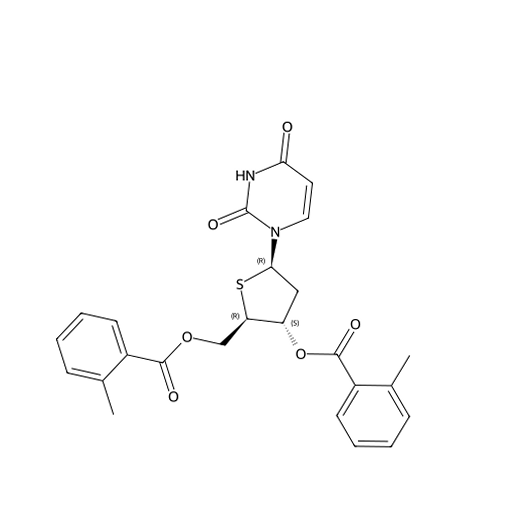 Cc1ccccc1C(=O)OC[C@H]1S[C@@H](n2ccc(=O)[nH]c2=O)C[C@@H]1OC(=O)c1ccccc1C